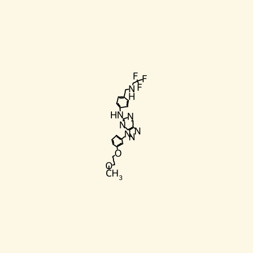 COCCOc1cccc(-n2nnc3cnc(Nc4ccc(CNCC(F)(F)F)cc4)nc32)c1